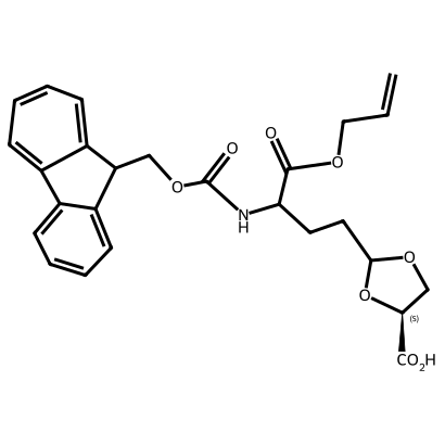 C=CCOC(=O)C(CCC1OC[C@@H](C(=O)O)O1)NC(=O)OCC1c2ccccc2-c2ccccc21